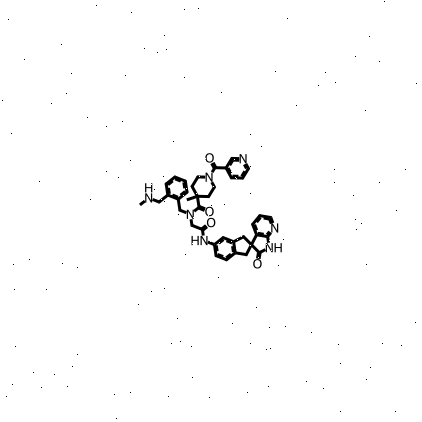 CNCc1ccccc1CN(CC(=O)Nc1ccc2c(c1)CC1(C2)C(=O)Nc2ncccc21)C(=O)C1(C)CCN(C(=O)c2cccnc2)CC1